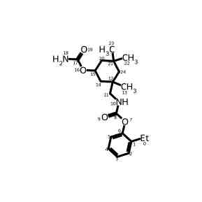 CCc1ccccc1OC(=O)NCC1(C)CC(OC(N)=O)CC(C)(C)C1